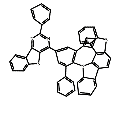 C1=CC(c2cc(-c3nc(-c4ccccc4)nc4c3sc3ccccc34)cc(-c3ccccc3)c2-n2c3ccccc3c3ccc4sc5ccccc5c4c32)=C1